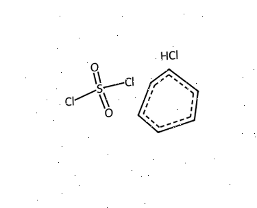 Cl.O=S(=O)(Cl)Cl.c1ccccc1